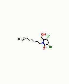 O=C(O)CCCCCCn1c(CO)c(Br)cc(Br)c1=O